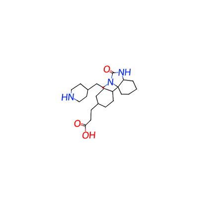 O=C(O)CCC1CCC(C23CCCCC2NC(=O)N3CCC2CCNCC2)CC1